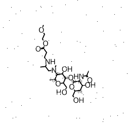 COCCOC(=O)CCNC(C)CN(C)[C@H]1C(O)[C@H](O[C@@H]2OC(CO)[C@@H](C)C(O)[C@@H]2NC(C)=O)C(CO)O[C@H]1C